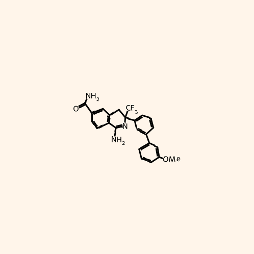 COc1cccc(-c2cccc(C3(C(F)(F)F)Cc4cc(C(N)=O)ccc4C(N)=N3)c2)c1